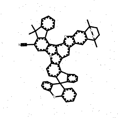 CC12CCC(C)(CC1)c1cc3c(cc12)oc1c3cc2c3c4c(ccc3n3c5cc(C#N)c6c(c5c1c23)-c1ccccc1C6(C)C)C1(c2ccccc2Oc2ccccc21)c1ccccc1-4